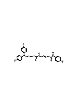 O=C(CCCCC(c1ccc(F)cc1)c1ccc(F)cc1)NCC=CCNC(=O)c1ccc(F)cc1